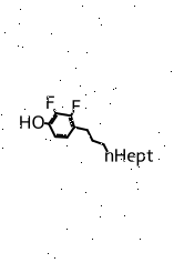 CCCCCCCCCCc1ccc(O)c(F)c1F